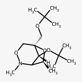 C[C@@H]1O[C@]2(COC(C)(C)C)CON(C)C1[C@H]2OC(C)(C)C